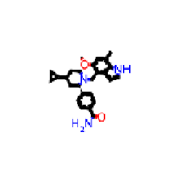 COc1cc(C)c2[nH]ccc2c1CN1CCC(C2CC2)C[C@H]1c1ccc(C(N)=O)cc1